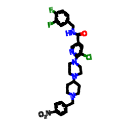 O=C(NCc1ccc(F)c(F)c1)c1cnc(N2CCN(C3CCN(Cc4ccc([N+](=O)[O-])cc4)CC3)CC2)c(Cl)c1